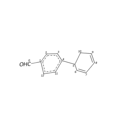 O=Cc1ccc(C2C=CC=CC2)cc1